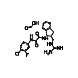 N=C(N)NC[C@@H]1Cc2ccccc2[C@H]1NC(=O)C(=O)Nc1ccc(Cl)c(F)c1.O=CO